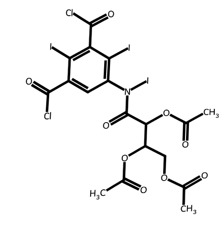 CC(=O)OCC(OC(C)=O)C(OC(C)=O)C(=O)N(I)c1cc(C(=O)Cl)c(I)c(C(=O)Cl)c1I